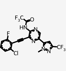 Cn1nc(C(F)(F)F)cc1-c1cnc(NC(=O)C(F)(F)F)c(C#Cc2c(F)cccc2Cl)n1